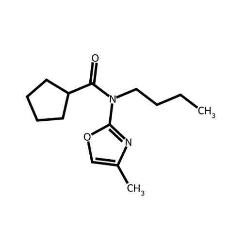 CCCCN(C(=O)C1CCCC1)c1nc(C)co1